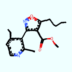 CCCc1onc(-c2c(C)ccnc2C)c1C(=O)OC